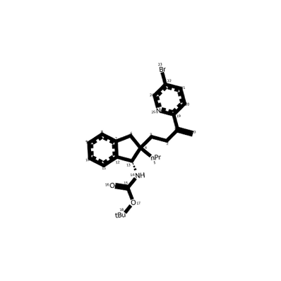 C=C(CCC1(CCC)Cc2ccccc2[C@H]1NC(=O)OC(C)(C)C)c1ccc(Br)cn1